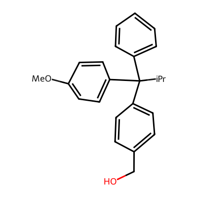 COc1ccc(C(c2ccccc2)(c2ccc(CO)cc2)C(C)C)cc1